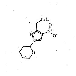 CCc1nn(C2CCCCO2)cc1[N+](=O)[O-]